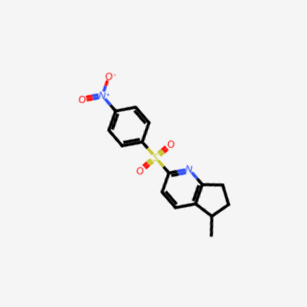 CC1CCc2nc(S(=O)(=O)c3ccc([N+](=O)[O-])cc3)ccc21